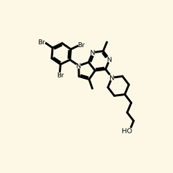 Cc1nc(N2CCC(CCCO)CC2)c2c(C)cn(-c3c(Br)cc(Br)cc3Br)c2n1